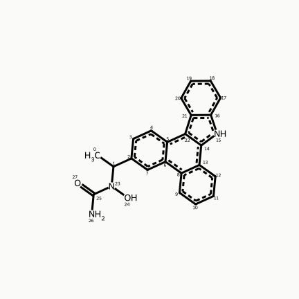 CC(c1ccc2c(c1)c1ccccc1c1[nH]c3ccccc3c21)N(O)C(N)=O